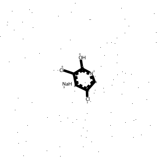 Oc1ncc(Cl)cc1Cl.[NaH]